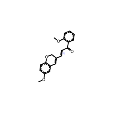 COc1ccc2c(c1)C=C(/C=C/C(=O)c1ccccc1OC)CO2